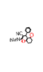 CNC1=C(C#N)C(c2ccccc2)C2=C(CCCC2=O)O1